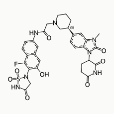 Cn1c(=O)n(C2CCC(=O)NC2=O)c2ccc([C@@H]3CCCN(CC(=O)Nc4ccc5c(F)c(N6CC(=O)NS6(=O)=O)c(O)cc5c4)C3)cc21